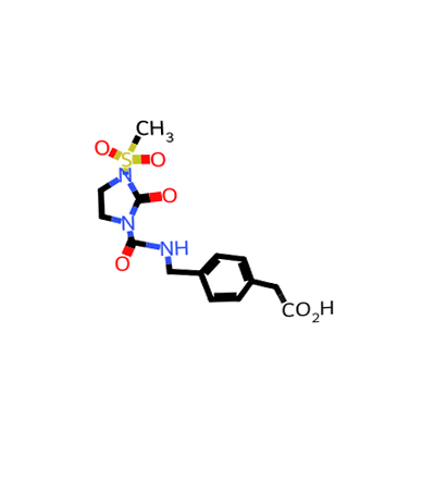 CS(=O)(=O)N1CCN(C(=O)NCc2ccc(CC(=O)O)cc2)C1=O